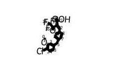 COc1cc(Cc2ccc3c(c2)OC(C(F)(F)F)C(C(=O)O)=C3)ccc1Cl